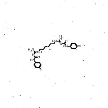 NC(=NC(=O)Nc1ccc(F)cc1)NCCCCCCNC(N)=NC(=O)Nc1ccc(F)cc1